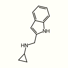 c1ccc2[nH]c(CNC3CC3)cc2c1